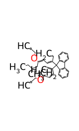 C#CCOC(=C)/C=C\C(=C/C)C1(/C(C=C)=C/C=C(\CC(C)CC)OCC#C)c2ccccc2-c2ccccc21